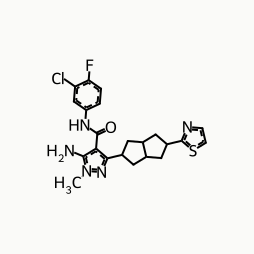 Cn1nc(C2CC3CC(c4nccs4)CC3C2)c(C(=O)Nc2ccc(F)c(Cl)c2)c1N